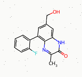 Cc1nc2c(-c3ccccc3F)cc(CO)cc2[nH]c1=O